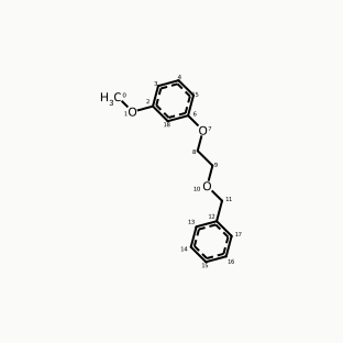 COc1cc[c]c(OCCOCc2ccccc2)c1